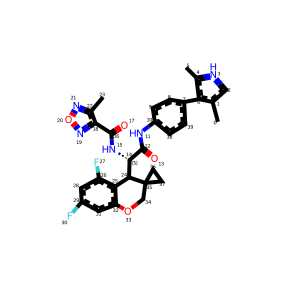 Cc1c[nH]c(C)c1-c1ccc(NC(=O)[C@@H](NC(=O)c2nonc2C)C2c3c(F)cc(F)cc3OCC23CC3)cc1